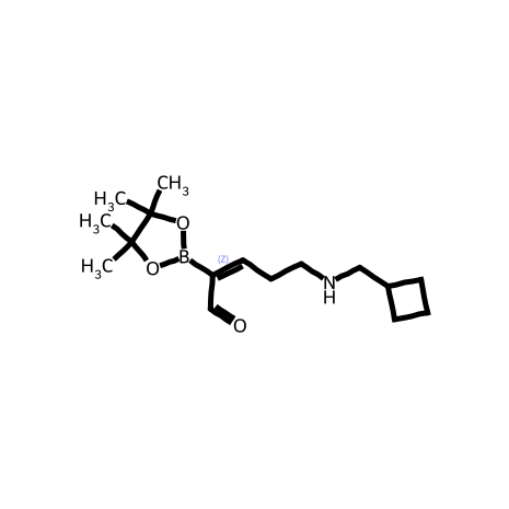 CC1(C)OB(/C(C=O)=C/CCNCC2CCC2)OC1(C)C